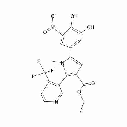 CCOC(=O)c1cc(-c2cc(O)c(O)c([N+](=O)[O-])c2)n(C)c1-c1cnccc1C(F)(F)F